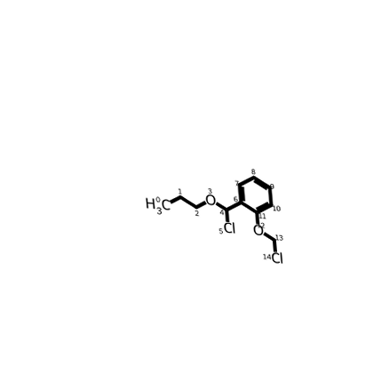 CCCOC(Cl)c1ccccc1OCCl